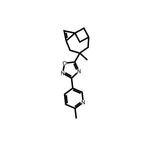 Cc1ccc(-c2noc(C3(C)CC4=CC45CC(C5)C3)n2)cn1